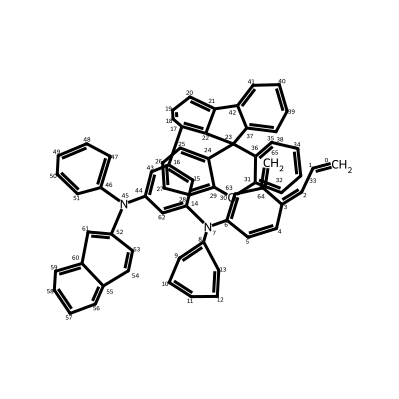 C=C/C=c1/ccc(N(c2ccccc2)c2cc(-c3cccc4c3C3(c5ccccc5Oc5ccccc53)c3ccccc3-4)cc(N(c3ccccc3)c3ccc4ccccc4c3)c2)cc1=C